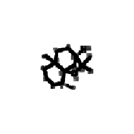 C[C@@H]1CCC[C@]2(C)CC[C@@H]3C[C@]12OC3(C)C